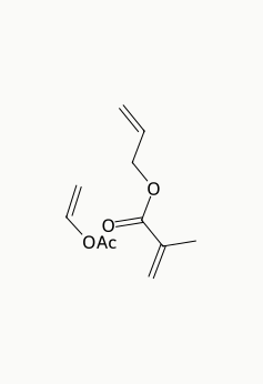 C=CCOC(=O)C(=C)C.C=COC(C)=O